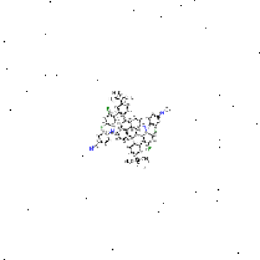 [C-]#[N+]c1ccc(N(c2cc(-c3cccc([Si](C)(C)C)c3)c(F)cc2F)c2ccc3ccc4c(N(c5ccc(C#N)cc5)c5cc(-c6cccc([Si](C)(C)C)c6)c(F)cc5F)ccc5ccc2c3c54)cc1